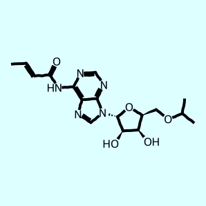 C/C=C/C(=O)Nc1ncnc2c1ncn2[C@@H]1O[C@@H](COC(C)C)[C@@H](O)[C@H]1O